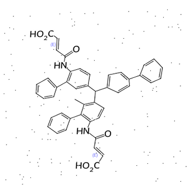 Cc1c(C(c2ccc(-c3ccccc3)cc2)c2ccc(NC(=O)/C=C/C(=O)O)c(-c3ccccc3)c2)ccc(NC(=O)/C=C/C(=O)O)c1-c1ccccc1